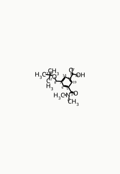 CN(C)C(=O)c1cc(COC(C)(C)C)cc(C(=O)O)c1